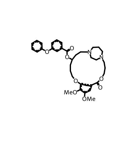 COc1cc2cc(c1OC)OCCCC(OC(=O)c1cccc(Oc3ccccc3)c1)CCN1CCCN(CCCOC2=O)CC1